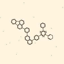 C1=CC(c2nc(-c3ccccc3)nc(-c3ccc(-c4cccc5ccc(-c6cccc(-c7ccc8c9c(cccc79)-c7ccccc7-8)c6)cc45)cc3)n2)=CCC1